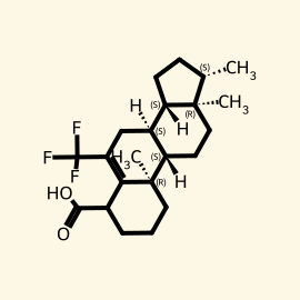 C[C@H]1CC[C@H]2[C@@H]3CC(C(F)(F)F)=C4C(C(=O)O)CCC[C@]4(C)[C@H]3CC[C@]12C